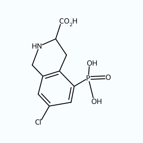 O=C(O)C1Cc2c(cc(Cl)cc2P(=O)(O)O)CN1